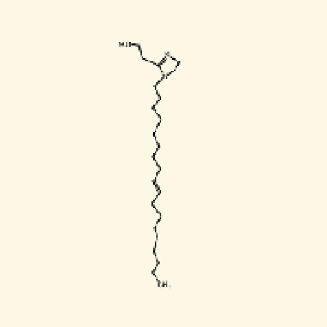 CCCCCCCCC=CCCCCCCCCN1CCN=C1CCO